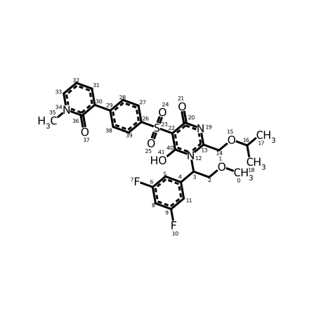 COCC(c1cc(F)cc(F)c1)n1c(COC(C)C)nc(=O)c(S(=O)(=O)c2ccc(-c3cccn(C)c3=O)cc2)c1O